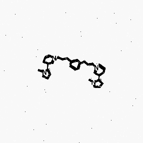 CN1CCC[C@@H]1C1C=[N+](CCCc2cccc(CCC[N+]3=CC([C@H]4CCCN4C)CC=C3)c2)C=CC1